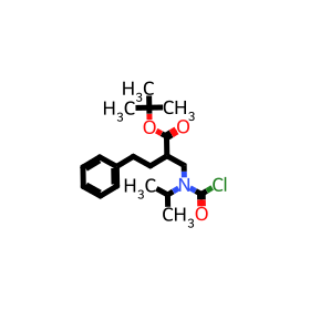 CC(C)N(CC(CCc1ccccc1)C(=O)OC(C)(C)C)C(=O)Cl